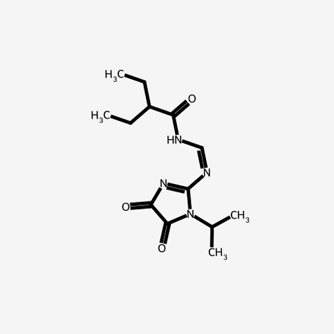 CCC(CC)C(=O)N/C=N\C1=NC(=O)C(=O)N1C(C)C